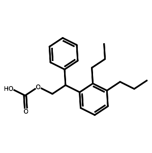 CCCc1cccc(C(COC(=O)O)c2ccccc2)c1CCC